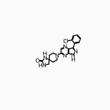 O=C1NCC2(CCN(c3cnc4c(-c5ccccc5Cl)n[nH]c4n3)CC2)N1